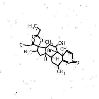 CCC(=O)O[C@]1(C(=O)CCl)C(C)C[C@H]2[C@@H]3CC(C)C4=CC(=O)C=C[C@]4(C)[C@@]3(Br)C(O)C[C@@]21C